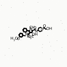 COc1cccc(Cn2c(=O)c3c(OC)c(C(=O)NC4CCN(C(=O)CO)CC4)n(C)c3c3ccccc32)c1